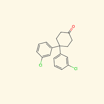 O=C1CCC(c2cccc(Cl)c2)(c2cccc(Cl)c2)CC1